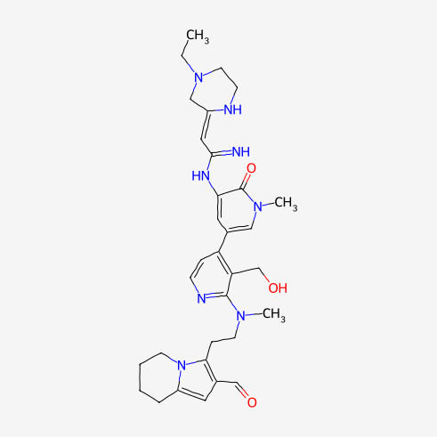 CCN1CCN/C(=C\C(=N)Nc2cc(-c3ccnc(N(C)CCc4c(C=O)cc5n4CCCC5)c3CO)cn(C)c2=O)C1